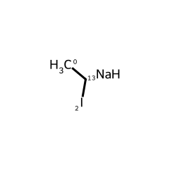 CCI.[NaH]